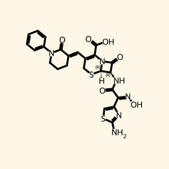 Nc1nc(C(=NO)C(=O)N[C@@H]2C(=O)N3C(C(=O)O)=C(C=C4CCCN(c5ccccc5)C4=O)CS[C@H]23)cs1